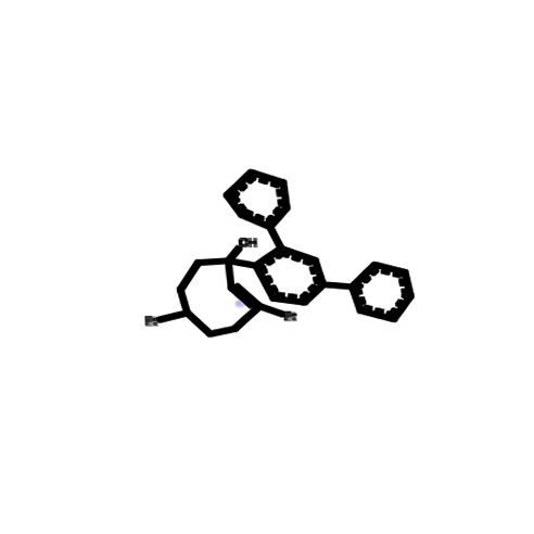 CC/C1=C\C(O)(c2ccc(-c3ccccc3)cc2-c2ccccc2)CCC(CC)CC1